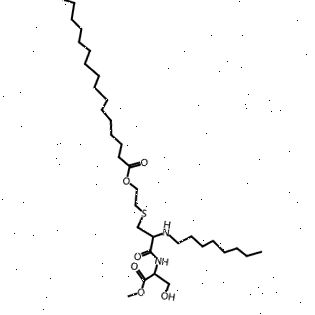 CCCCCCCCCCCCCCCC(=O)OCCSCC(NCCCCCCCC)C(=O)NC(CO)C(=O)OC